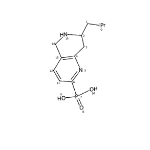 CC(C)CC1Cc2nc(P(=O)(O)O)ccc2CN1